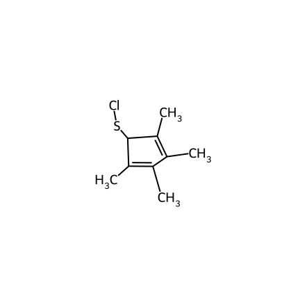 CC1=C(C)C(SCl)C(C)=C1C